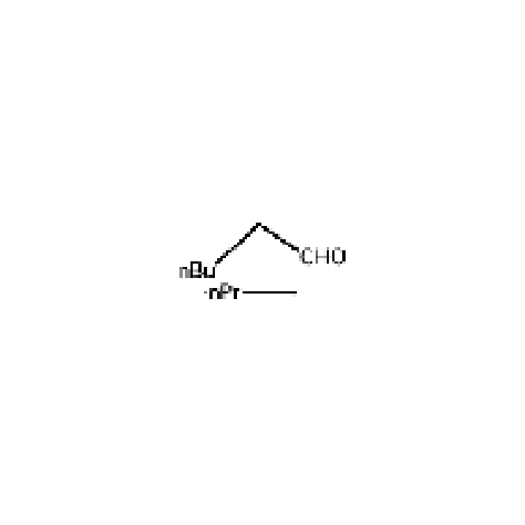 CCCCCC=O.C[CH]CC